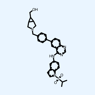 CC(C)S(=O)(=O)n1ccc2cc(Nc3ncnc4ccc(-c5ccc(CN6CC7C(CO)C7C6)cc5)cc34)ccc21